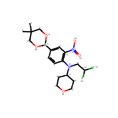 CC1(C)COB(c2ccc(N(CC(F)F)C3CCOCC3)c([N+](=O)[O-])c2)OC1